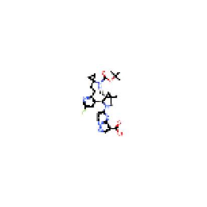 CC(C)(C)OC(=O)NC1(CCc2ncc(F)cc2[C@H]2[C@@H]3C[C@@H]3CN2c2ccn3ncc(C(=O)O)c3n2)CC1